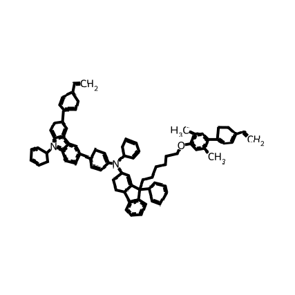 C=CC1=CC=C(c2cc(C)c(OCCCCCCC3(C4C=CC=CC4)C4=CC(N(C5=CCC(c6ccc7c(c6)c6c(n7C7C=CC=CC7)=CCC(C7=CCC(C=C)C=C7)C=6)C=C5)C5C=CC=CC5)CCC4c4ccccc43)cc2C)CC1